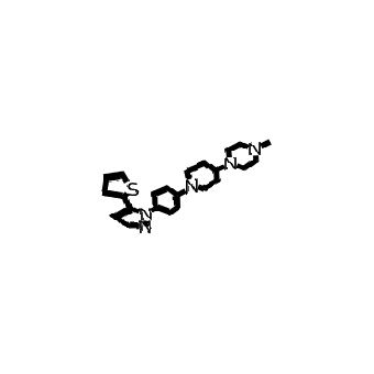 CN1CCN(C2CCN(c3ccc(-n4nccc4-c4cccs4)cc3)CC2)CC1